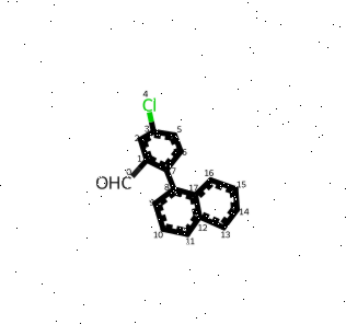 O=Cc1cc(Cl)ccc1-c1cccc2ccccc12